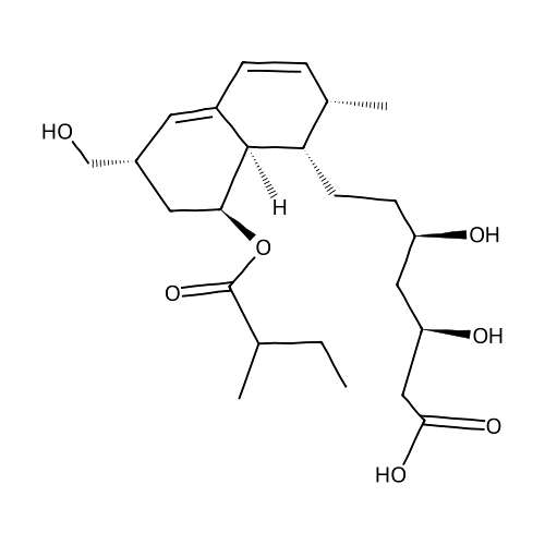 CCC(C)C(=O)O[C@H]1C[C@H](CO)C=C2C=C[C@H](C)[C@H](CC[C@@H](O)C[C@@H](O)CC(=O)O)[C@H]21